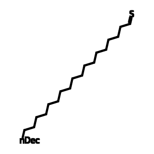 CCCCCCCCCCCCCCCCCCCCCCCCCCCC=S